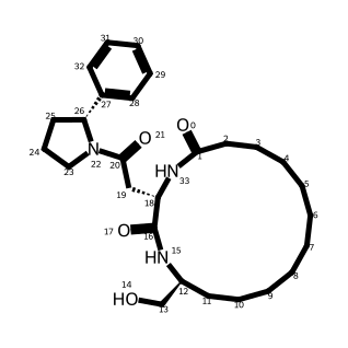 O=C1CCCCCCCCCC[C@@H](CO)NC(=O)[C@H](CC(=O)N2CCC[C@@H]2c2ccccc2)N1